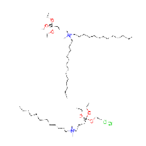 CCCCCCCCCCCCC[N+](C)(C)CCC[Si](OCC)(OCC)OCC.CCCCCCCCCCCCC[N+](C)(CCCCCCCCCCCCC)CCC[Si](OCC)(OCC)OCC.[Cl-].[Cl-]